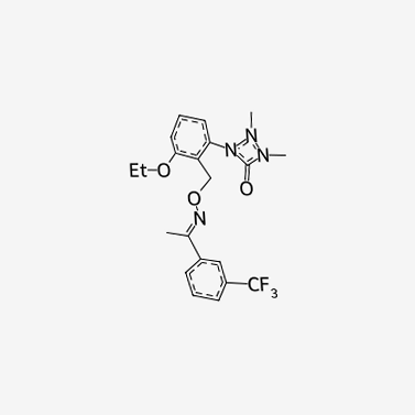 CCOc1cccc(-n2c(=O)n(C)n2C)c1CO/N=C(\C)c1cccc(C(F)(F)F)c1